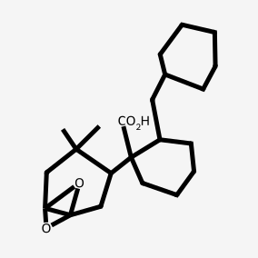 CC1(C)CC23OC2(CC1C1(C(=O)O)CCCCC1CC1CCCCC1)O3